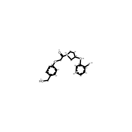 O=C(COc1ccc(CO)cc1)N1CCC(Oc2cnccc2F)C1